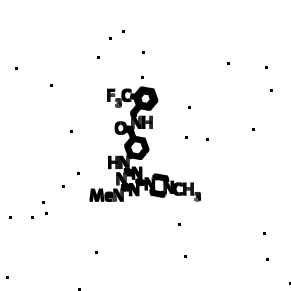 CNc1nc(NC2CCCC(C(=O)NCc3ccccc3C(F)(F)F)C2)nc(N2CCN(C)CC2)n1